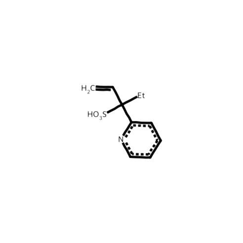 C=CC(CC)(c1ccccn1)S(=O)(=O)O